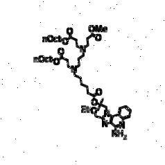 CCCCCCCCOC(=O)CCN(CCCCCC(=O)OC(C)(C)Cn1c(COCC)nc2c(N)nc3ccccc3c21)CCCN(CCC(=O)OC)CCC(=O)OCCCCCCCC